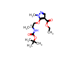 CCOC(=O)c1cnn(C)c1OC[C@@H](C)NC(=O)OC(C)(C)C